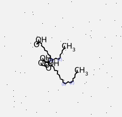 CCCCC/C=C\C/C=C\CCCCCCCC(=O)O.CCCCC/C=C\C/C=C\CCCCCCCC(=O)O.OCC1CO1.OCC1CO1